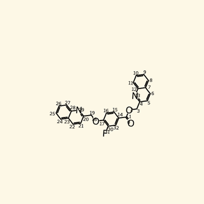 O=C(OCc1ccc2ccccc2n1)c1ccc(OCc2ccc3ccccc3n2)c(F)c1